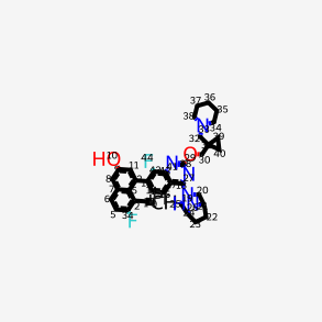 C#Cc1c(F)ccc2cc(O)cc(-c3c(C(C)C)cc4c(N5CC6CCC(C5)N6)nc(OCC5(CN6CCCCC6)CC5)nc4c3F)c12